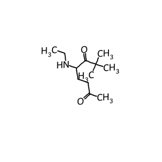 CCNC(CCC(C)=O)C(=O)C(C)(C)C